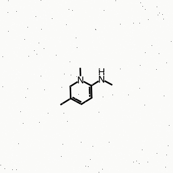 CNC1=CC=C(C)CN1C